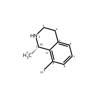 C[C@@H]1NCCc2cccc(I)c21